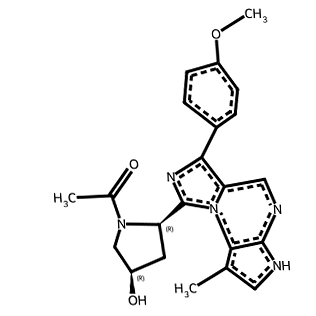 COc1ccc(-c2nc([C@H]3C[C@@H](O)CN3C(C)=O)n3c2cnc2[nH]cc(C)c23)cc1